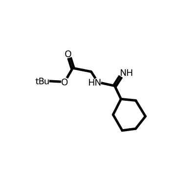 CC(C)(C)OC(=O)CNC(=N)C1CCCCC1